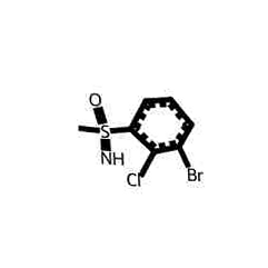 CS(=N)(=O)c1cccc(Br)c1Cl